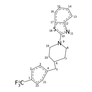 FC(F)(F)c1ccc(CC2CCN(c3nc4ccccc4s3)CC2)cc1